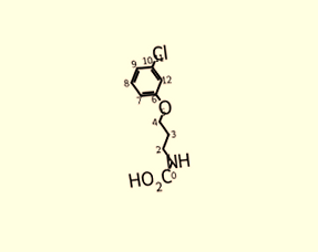 O=C(O)NCCCOc1cccc(Cl)c1